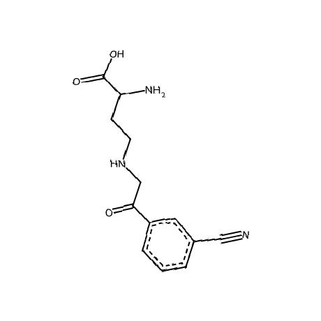 N#Cc1cccc(C(=O)CNCCC(N)C(=O)O)c1